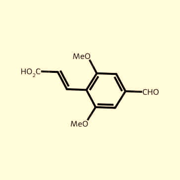 COc1cc(C=O)cc(OC)c1C=CC(=O)O